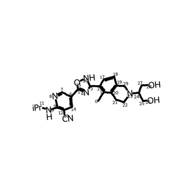 Cc1c(C2N=C(c3cnc(NC(C)C)c(C#N)c3)ON2)ccc2c1CCN(C(CO)CO)C2